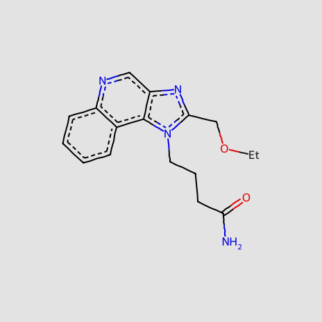 CCOCc1nc2cnc3ccccc3c2n1CCCC(N)=O